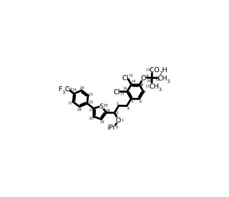 CC(C)OC(CCc1ccc(OC(C)(C)C(=O)O)c(Cl)c1Cl)c1ccc(-c2ccc(C(F)(F)F)cc2)s1